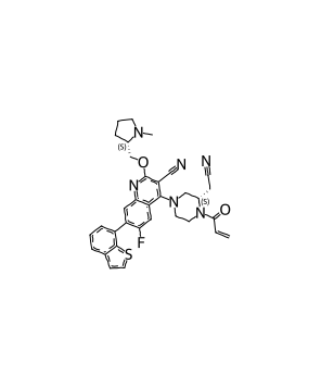 C=CC(=O)N1CCN(c2c(C#N)c(OC[C@@H]3CCCN3C)nc3cc(-c4cccc5ccsc45)c(F)cc23)C[C@@H]1CC#N